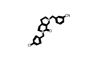 N#Cc1cccc(CN2CCc3ccn(Cc4ccc(Cl)cc4)c(=O)c3C2)c1